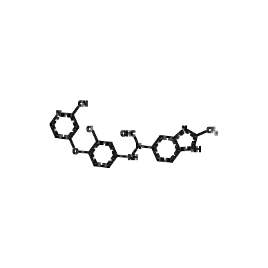 N#Cc1cc(Oc2ccc(NN(C=O)c3ccc4[nH]c(C(F)(F)F)nc4c3)cc2Cl)ccn1